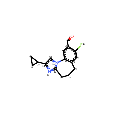 O=Cc1cc2c(cc1F)CCCc1nc(C3CC3)cn1-2